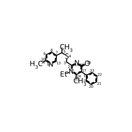 CCn1c(CSC(C)c2ccc(C)nc2)nc(=O)c(-c2ccccc2)c1C